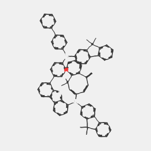 C=C1/C=C\C(N(c2ccc3c(c2)C(C)(C)c2ccccc2-3)c2cccc3c2oc2c(-c4ccc(N(c5ccc(-c6ccccc6)cc5)c5ccc6c(c5)C(C)(C)c5ccccc5-6)cc4)cccc23)=C/C(C)(C)c2ccccc21